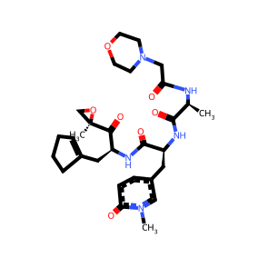 C[C@H](NC(=O)CN1CCOCC1)C(=O)N[C@@H](Cc1ccc(=O)n(C)c1)C(=O)N[C@@H](CC1=CCCC1)C(=O)[C@@]1(C)CO1